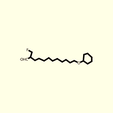 O=[C]C(CF)CCCCCCCCCCOC1CC[CH]CC1